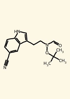 CC(C)(C)ON(C=O)CCc1c[nH]c2ccc(C#N)cc12